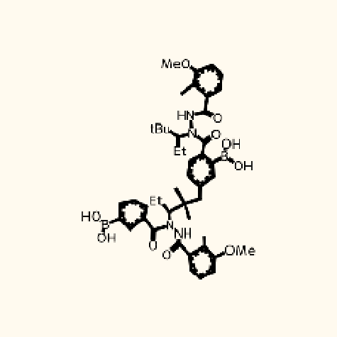 CCC(N(NC(=O)c1cccc(OC)c1C)C(=O)c1ccc(CC(C)(C)C(CC)N(NC(=O)c2cccc(OC)c2C)C(=O)c2cccc(B(O)O)c2)cc1B(O)O)C(C)(C)C